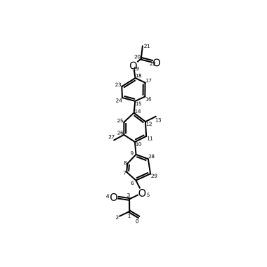 C=C(C)C(=O)Oc1ccc(-c2cc(C)c(-c3ccc(OC(C)=O)cc3)cc2C)cc1